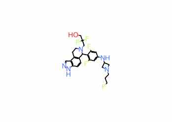 OCC(F)(F)CN1CCc2c(ccc3[nH]ncc23)C1c1c(F)cc(NC2CN(CCCF)C2)cc1F